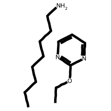 CCCCCCCCN.CCOc1ncccn1